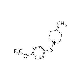 C=C1CCN(Sc2ccc(OC(F)(F)F)cc2)CC1